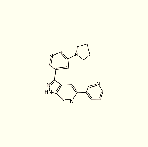 [CH]1CCN(c2cncc(-c3n[nH]c4cnc(-c5cccnc5)cc34)c2)C1